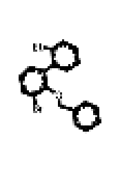 CCc1ccccc1-c1cccc(Br)c1OCc1ccccc1